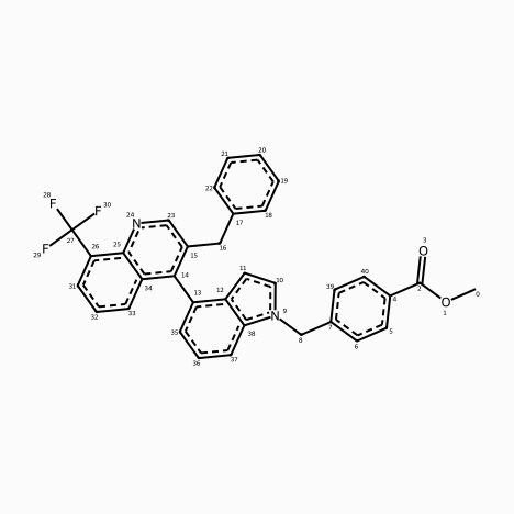 COC(=O)c1ccc(Cn2ccc3c(-c4c(Cc5ccccc5)cnc5c(C(F)(F)F)cccc45)cccc32)cc1